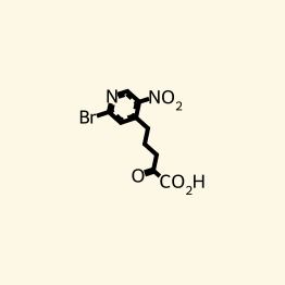 O=C(O)C(=O)CCCc1cc(Br)ncc1[N+](=O)[O-]